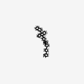 c1cncc(-c2ccc(-c3ccc4nn(-c5ccc(-c6c7ccccc7c(-c7ccc8ccccc8c7)c7ccccc67)cc5)nc4c3)cc2)c1